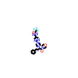 O=C(C(/C=C/c1ccccc1)N1CCN(c2ncc(-c3noc(C(F)(F)F)n3)cn2)CC1)N1CCOCC1